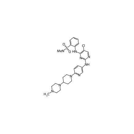 CNS(=O)(=O)c1ccccc1Nc1nc(Nc2ccc(N3CCC(N4CCN(C)CC4)CC3)nc2)ncc1Cl